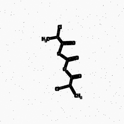 CC(Cl)C(=O)OC(=O)OC(=O)C(C)Cl